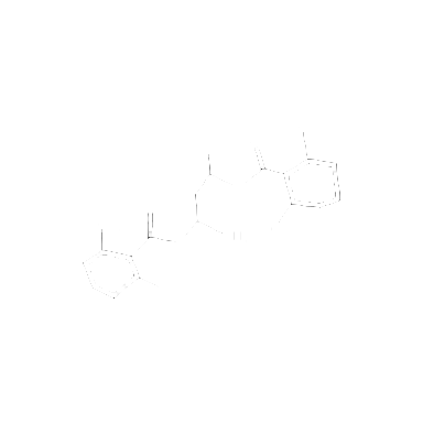 Cc1cccc(C)c1C(=O)OC(C)CC(C)OC(=O)c1c(C)cccc1C